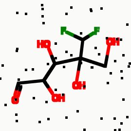 O=CC(O)C(O)C(O)(CO)C(F)F